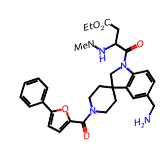 CCOC(=O)CC(NNC)C(=O)N1CC2(CCN(C(=O)c3ccc(-c4ccccc4)o3)CC2)c2cc(CN)ccc21